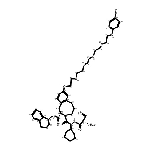 C=C[C@H](NC)C(=O)N[C@H](C(=O)C1CCCc2cc(OCCOCCOCCOCCOCCOc3ccc(Br)cn3)ccc2C[C@@H]1C(=O)N[C@H]1CCCc2ccccc21)C1CCCCC1